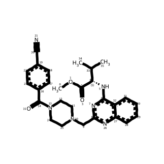 COC(=O)[C@@H](Nc1nc(CN2CCN(C(=O)c3ccc(C#N)cc3)CC2)nc2ccccc12)C(C)C